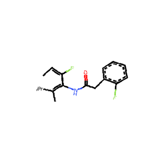 C/C=C(F)\C(NC(=O)Cc1ccccc1F)=C(\C)C(C)C